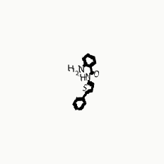 Nc1ccccc1C(=O)Nc1ccc(-c2ccccc2)s1